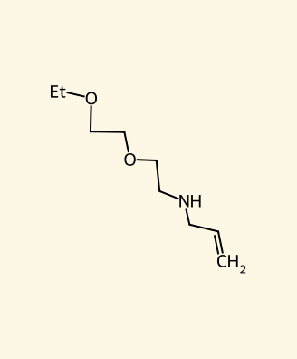 C=CCNCCOCCOCC